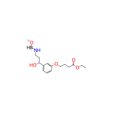 CCOC(=O)CCCOc1cccc(C(O)CCNBOC)c1